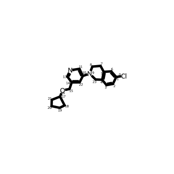 Clc1ccc2c(c1)CCN(c1cncc(COC3CCCC3)c1)C2